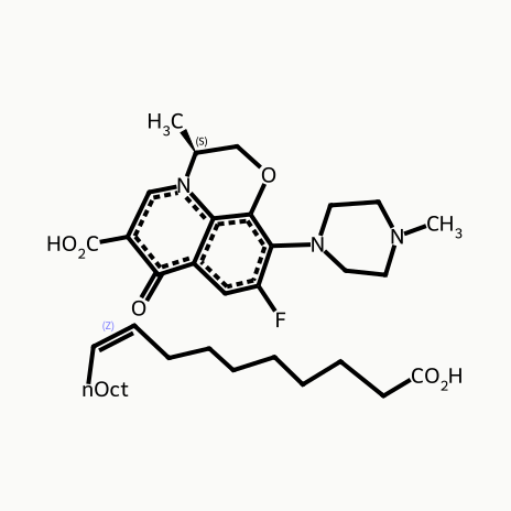 CCCCCCCC/C=C\CCCCCCCC(=O)O.C[C@H]1COc2c(N3CCN(C)CC3)c(F)cc3c(=O)c(C(=O)O)cn1c23